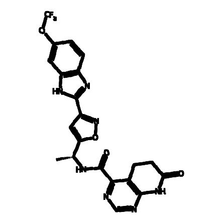 C[C@@H](NC(=O)c1ncnc2c1CCC(=O)N2)c1cc(-c2nc3ccc(OC(F)(F)F)cc3[nH]2)no1